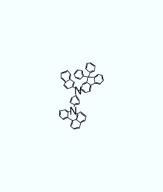 c1ccc(C2(c3ccccc3)c3ccccc3-c3ccc(N(c4ccc(N5c6ccccc6-c6cccc7cccc5c67)cc4)c4ccc5ccccc5c4)cc32)cc1